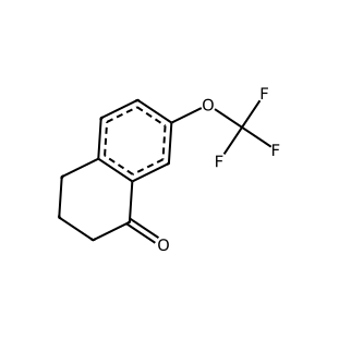 O=C1CCCc2ccc(OC(F)(F)F)cc21